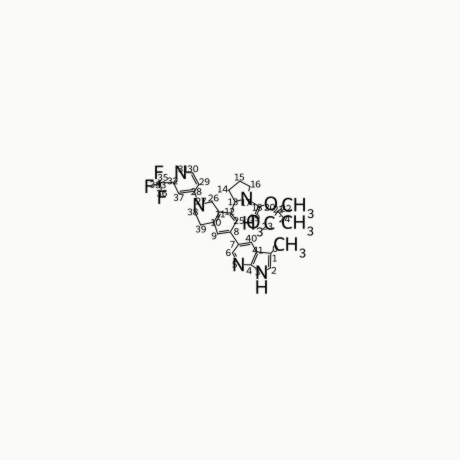 Cc1c[nH]c2ncc(-c3cc4c(c(C5CCCN5C(=O)OC(C)(C)C)c3)CN(c3ccnc(C(F)(F)F)c3)CC4)cc12